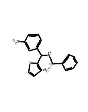 C[C@H](NC(c1cccc([N+](=O)[O-])c1)c1cccs1)c1ccccc1